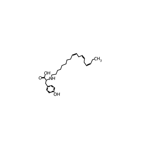 CC/C=C\C/C=C\C/C=C\CCCCCCCCNC(Cc1ccc(O)cc1)C(=O)O